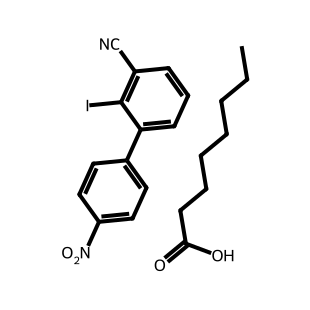 CCCCCCCC(=O)O.N#Cc1cccc(-c2ccc([N+](=O)[O-])cc2)c1I